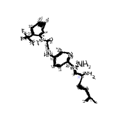 CC(C)CC/C(N)=C/N(N)c1ccc(NC(=O)Nc2ccccc2C(F)(F)F)cn1